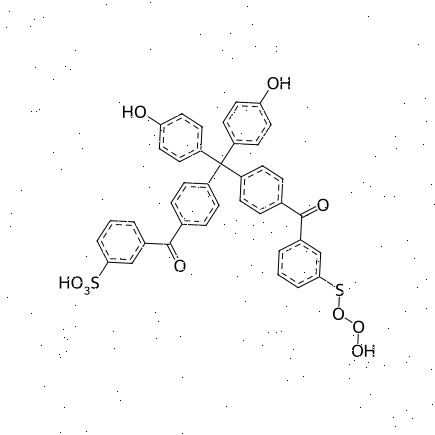 O=C(c1ccc(C(c2ccc(O)cc2)(c2ccc(O)cc2)c2ccc(C(=O)c3cccc(S(=O)(=O)O)c3)cc2)cc1)c1cccc(SOOO)c1